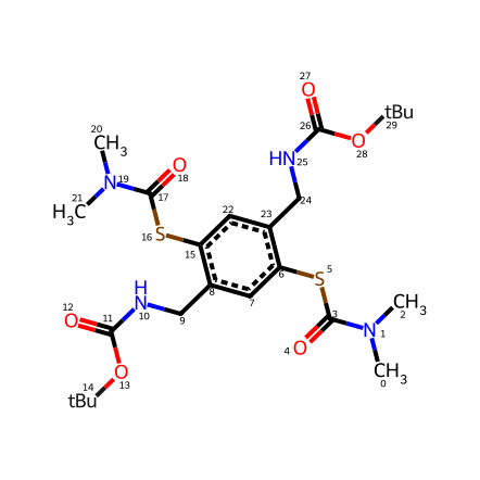 CN(C)C(=O)Sc1cc(CNC(=O)OC(C)(C)C)c(SC(=O)N(C)C)cc1CNC(=O)OC(C)(C)C